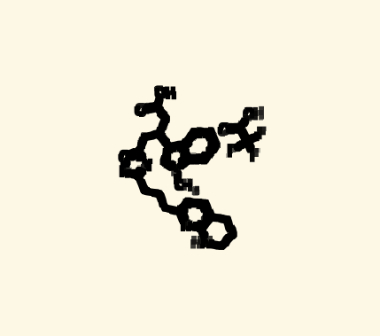 Cn1cc(C(CC(=O)O)Cc2nc(CCCc3ccc4c(n3)NCCC4)no2)c2ccccc21.O=C(O)C(F)(F)F